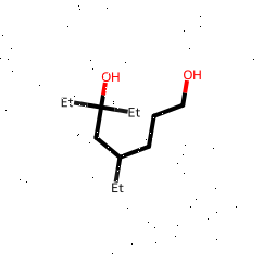 CCC(CCCO)CC(O)(CC)CC